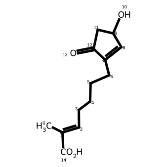 C/C(=C\CCCCC1=CC(O)CC1=O)C(=O)O